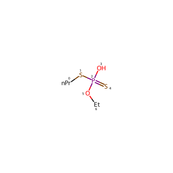 CCCSP(O)(=S)OCC